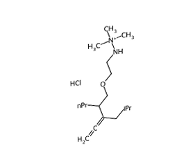 C=C=C(CC(C)C)C(CCC)COCCN[N+](C)(C)C.Cl